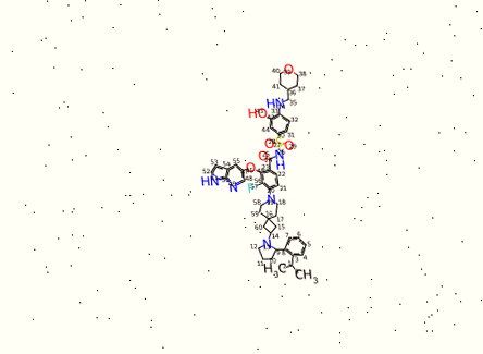 CC(C)c1ccccc1C1CCCN1C1CC2(CCN(c3ccc(C(=O)NS(=O)(=O)c4ccc(NCC5CCOCC5)c(O)c4)c(Oc4cnc5[nH]ccc5c4)c3F)CC2)C1